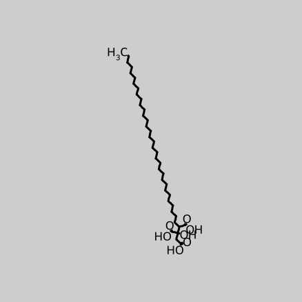 CCCCCCCCCCCCCCCCCCCCCCCCCCCCCCCCCC(C(=O)O)C(O)(CC(=O)O)C(=O)O